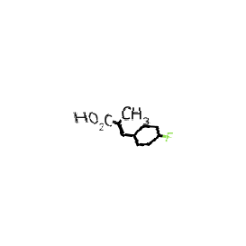 CC(=CC1CCC(F)CC1)C(=O)O